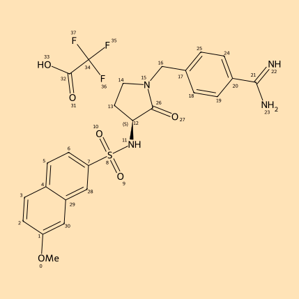 COc1ccc2ccc(S(=O)(=O)N[C@H]3CCN(Cc4ccc(C(=N)N)cc4)C3=O)cc2c1.O=C(O)C(F)(F)F